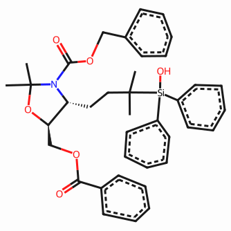 CC1(C)O[C@H](COC(=O)c2ccccc2)[C@@H](CCC(C)(C)[Si](O)(c2ccccc2)c2ccccc2)N1C(=O)OCc1ccccc1